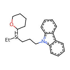 CC[SiH](CCCn1c2ccccc2c2ccccc21)C1CCCCO1